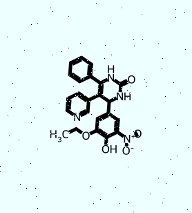 CCOc1cc(C2NC(=O)NC(c3ccccc3)=C2c2cccnc2)cc([N+](=O)[O-])c1O